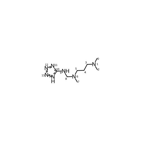 CN(C)CCCN(C)CNc1nnn[nH]1